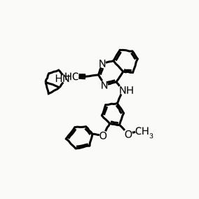 C#Cc1nc(Nc2ccc(Oc3ccccc3)c(OC)c2)c2ccccc2n1.C1CC2CC2N1